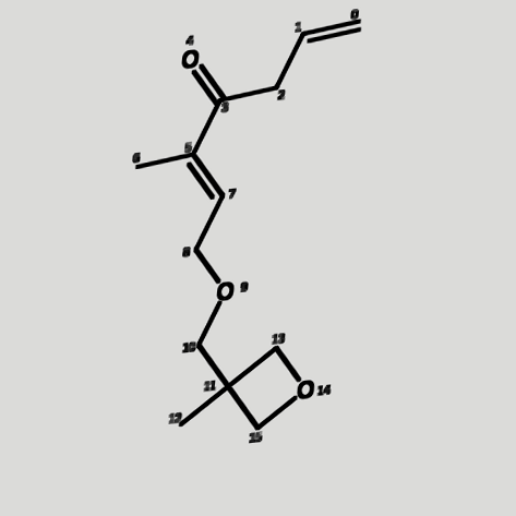 C=CCC(=O)/C(C)=C/COCC1(C)COC1